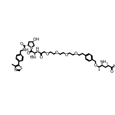 Cc1ncsc1-c1ccc(CNC(=O)[C@@H]2C[C@@H](O)CN2C(=O)[C@@H](NC(=O)COCCOCCOCCOCCc2ccc(CO[C@H](C)[C@@H](N)CCC(N)=O)cc2)C(C)(C)C)cc1